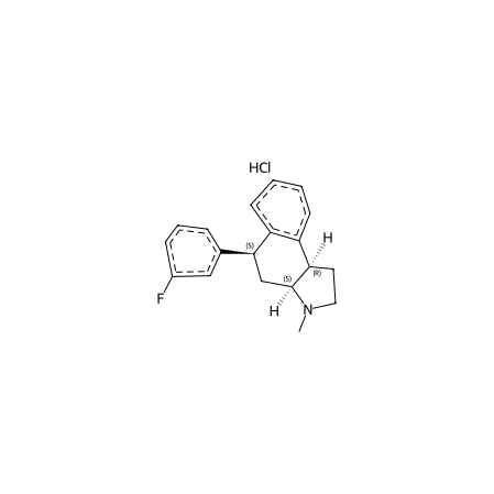 CN1CC[C@@H]2c3ccccc3[C@H](c3cccc(F)c3)C[C@@H]21.Cl